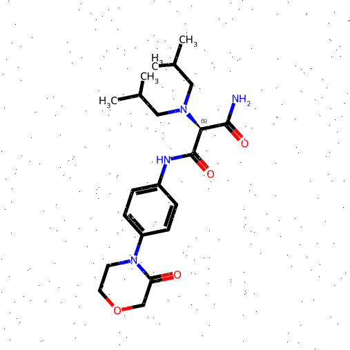 CC(C)CN(CC(C)C)[C@@H](C(N)=O)C(=O)Nc1ccc(N2CCOCC2=O)cc1